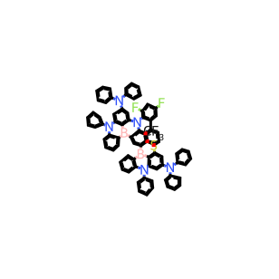 Fc1cc(F)c(N2c3cc(N(c4ccccc4)c4ccccc4)cc4c3B(c3ccccc3N4c3ccccc3)c3cc4c(c(C(F)(F)F)c32)Sc2cc(N(c3ccccc3)c3ccccc3)cc3c2B4c2ccccc2N3c2ccccc2)c(-c2ccccc2)c1